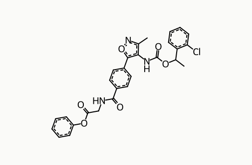 Cc1noc(-c2ccc(C(=O)NCC(=O)Oc3ccccc3)cc2)c1NC(=O)OC(C)c1ccccc1Cl